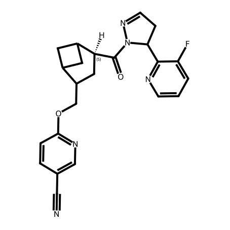 N#Cc1ccc(OCC2C[C@H](C(=O)N3N=CCC3c3ncccc3F)C3CC2C3)nc1